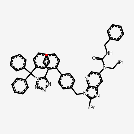 CCCc1nc2cc(N(CC(C)C)C(=O)NCc3ccccc3)cnc2n1Cc1ccc(-c2ccccc2-c2nnnn2C(c2ccccc2)(c2ccccc2)c2ccccc2)cc1